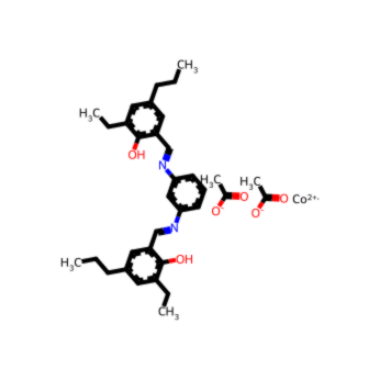 CC(=O)[O-].CC(=O)[O-].CCCc1cc(C=Nc2cccc(N=Cc3cc(CCC)cc(CC)c3O)c2)c(O)c(CC)c1.[Co+2]